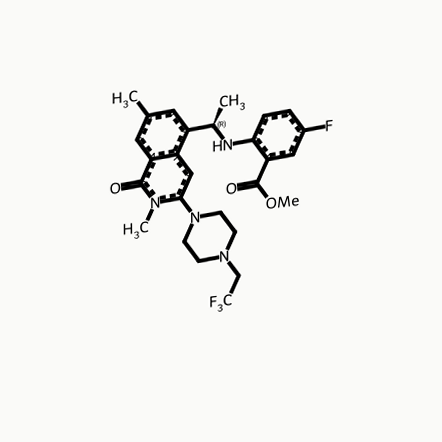 COC(=O)c1cc(F)ccc1N[C@H](C)c1cc(C)cc2c(=O)n(C)c(N3CCN(CC(F)(F)F)CC3)cc12